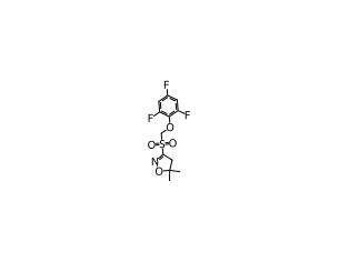 CC1(C)CC(S(=O)(=O)COc2c(F)cc(F)cc2F)=NO1